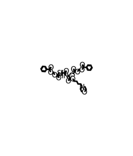 CC(C)(SC(=O)OCOC(=O)c1ccccc1)C(=O)N[C@@H](CSC(=O)OCOC(=O)c1ccccc1)C(=O)OCCCCN1CCOCC1